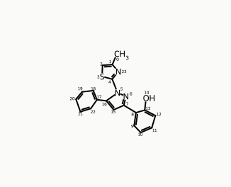 Cc1csc(-n2nc(-c3ccccc3O)cc2-c2ccccc2)n1